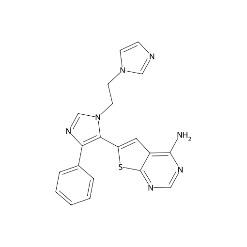 Nc1ncnc2sc(-c3c(-c4ccccc4)ncn3CCn3ccnc3)cc12